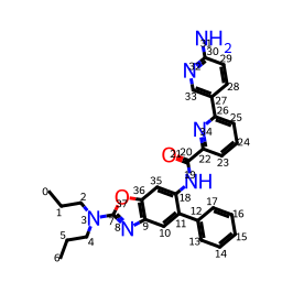 CCCN(CCC)c1nc2cc(-c3ccccc3)c(NC(=O)c3cccc(-c4ccc(N)nc4)n3)cc2o1